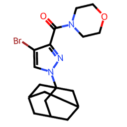 O=C(c1nn(C23CC4CC(CC(C4)C2)C3)cc1Br)N1CCOCC1